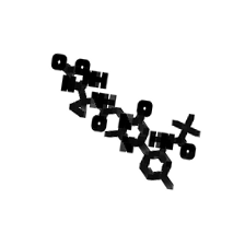 Cc1ccc(-c2cc(=O)n(CC(=O)NC3(c4nc(=O)o[nH]4)CC3)c(C)n2)c(NC(=O)C(C)(C)C)c1